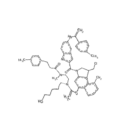 C=C(Nc1ccc2nc(C(=O)N3CC(CCl)c4c3cc(OC(=C)N(CCCCCO)CCN(C)C(=O)CCc3ccc(C)cc3)c3cccc(C)c43)cn2c1)c1ccc(C)cc1